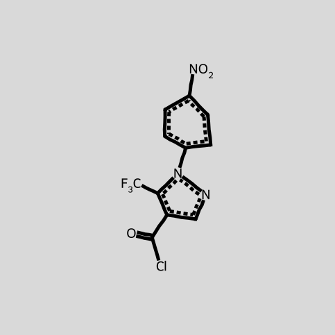 O=C(Cl)c1cnn(-c2ccc([N+](=O)[O-])cc2)c1C(F)(F)F